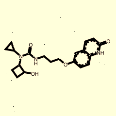 O=C(NCCCOc1ccc2[nH]c(=O)ccc2c1)N(C1CC1)C1CCC1O